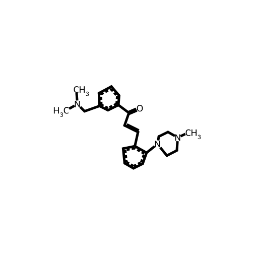 CN(C)Cc1cccc(C(=O)/C=C/c2ccccc2N2CCN(C)CC2)c1